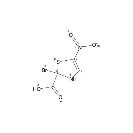 O=C(O)C1(Br)NC=C([N+](=O)[O-])S1